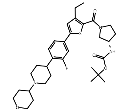 CCc1cc(-c2ccc(C3CCN(C4CCOCC4)CC3)c(F)c2)sc1C(=O)N1CC[C@H](NC(=O)OC(C)(C)C)C1